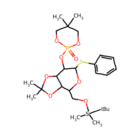 CC1(C)COP(=O)(OC2C(Sc3ccccc3)OC(CO[Si](C)(C)C(C)(C)C)C3OC(C)(C)OC32)OC1